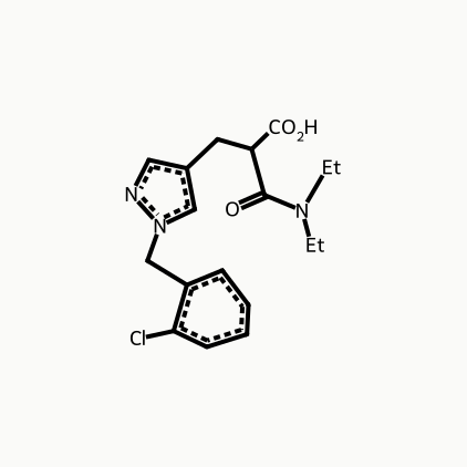 CCN(CC)C(=O)C(Cc1cnn(Cc2ccccc2Cl)c1)C(=O)O